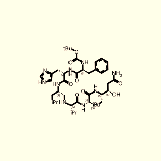 CC[C@H](C)[C@H](NC(=O)[C@@H](NC[C@H](CC(C)C)NC(=O)[C@H](Cc1c[nH]cn1)NC(=O)[C@H](Cc1ccccc1)NC(=O)OC(C)(C)C)C(C)C)C(=O)N[C@@H](CC(C)C)[C@@H](O)CC(N)=O